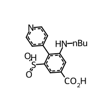 CCCCNc1cc(C(=O)O)cc([SH](=O)=O)c1-c1ccncc1